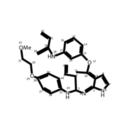 C=CCC(/N=C1/NC=C/C1=C(/C)Oc1cccc(NC(=C)C=C)c1)Nc1ccc(OCCOC)cc1